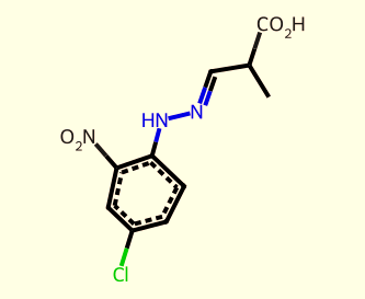 CC(C=NNc1ccc(Cl)cc1[N+](=O)[O-])C(=O)O